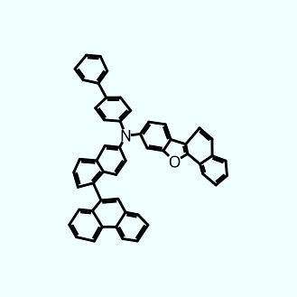 c1ccc(-c2ccc(N(c3ccc4c(-c5cc6ccccc6c6ccccc56)cccc4c3)c3ccc4c(c3)oc3c5ccccc5ccc43)cc2)cc1